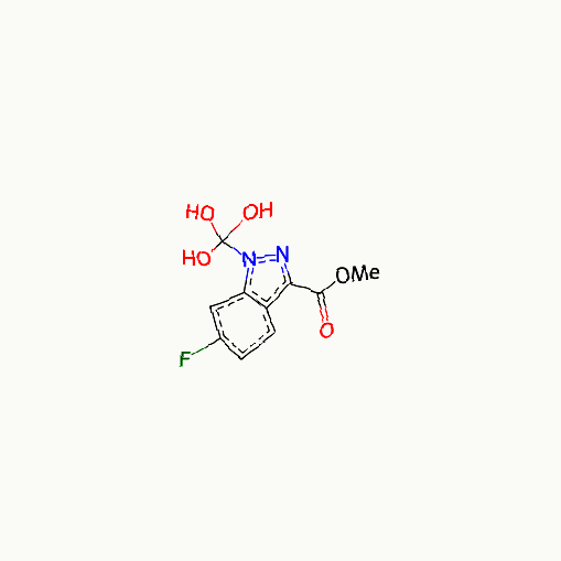 COC(=O)c1nn(C(O)(O)O)c2cc(F)ccc12